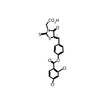 O=C(O)CN1C(=O)/C(=C/c2ccc(OC(=O)c3ccc(Cl)cc3Cl)cc2)SC1=S